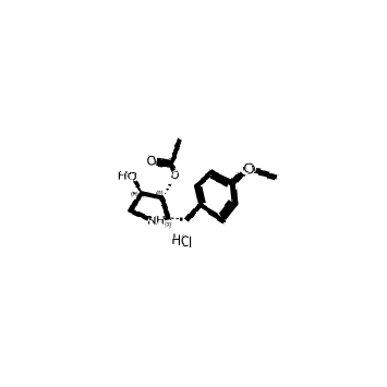 COc1ccc(C[C@@H]2NC[C@@H](O)[C@@H]2OC(C)=O)cc1.Cl